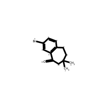 CC1(C)CCc2ccc(Br)cc2C(=O)C1